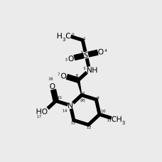 CCS(=O)(=O)NC(=O)[C@H]1CC(C)CCN1C(=O)O